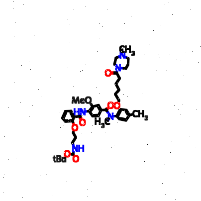 COc1cc(C(=O)N(C)c2ccc(C)cc2OCCCCCC(=O)N2CCCN(C)CC2)ccc1NC(=O)c1ccccc1OCCCNC(=O)OC(C)(C)C